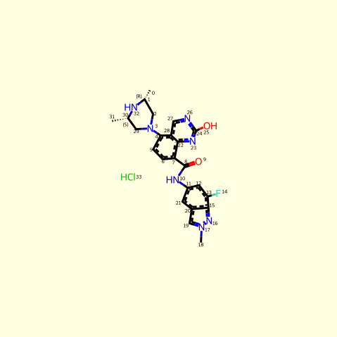 C[C@@H]1CN(c2ccc(C(=O)Nc3cc(F)c4nn(C)cc4c3)c3nc(O)ncc23)C[C@H](C)N1.Cl